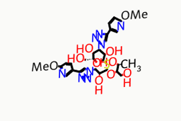 COc1ccc(-c2cn(C[C@H](O)C(OC(CO)[C@@H](C)O)S[C@@H]3O[C@H](CO)C(O)C(n4cc(-c5ccc(OC)nc5)nn4)C3O)nn2)cn1